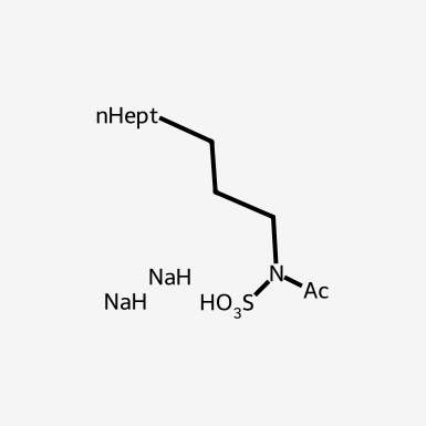 CCCCCCCCCCN(C(C)=O)S(=O)(=O)O.[NaH].[NaH]